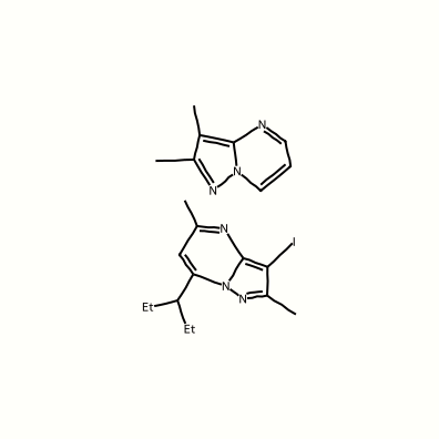 CCC(CC)c1cc(C)nc2c(I)c(C)nn12.Cc1nn2cccnc2c1C